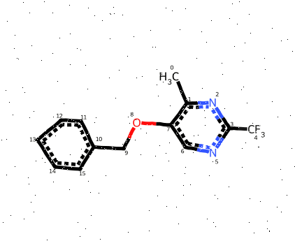 Cc1nc(C(F)(F)F)ncc1OCc1ccccc1